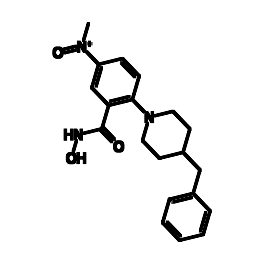 C[N+](=O)c1ccc(N2CCC(Cc3ccccc3)CC2)c(C(=O)NO)c1